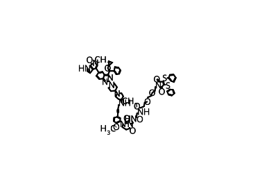 COc1ccc(C#CCNC2(C)CCN(C3CCN(c4nc(C(OC5CC5)c5ccccc5)c5cc(-c6cn(C)c(=O)c7[nH]ccc67)ccc5n4)CC3)CC2)cc1N1CCC(=O)N(CNC(=O)CNC(=O)CCOCCOCCN2C(=O)C(Sc3ccccc3)=C(Sc3ccccc3)C2=O)C1=O